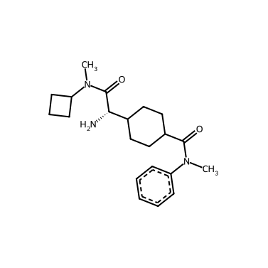 CN(C(=O)C1CCC([C@H](N)C(=O)N(C)C2CCC2)CC1)c1ccccc1